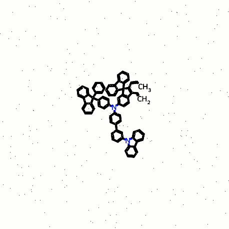 C=CC1=C(/C=C\C)C2(c3cc(N(c4ccc(-c5cccc(-n6c7ccccc7c7ccccc76)c5)cc4)c4ccc(C5(c6ccccc6)c6ccccc6-c6ccccc65)cc4)ccc31)c1ccccc1-c1ccccc12